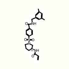 C=CC(=O)N[C@H]1CCCN(S(=O)(=O)c2ccc(C(=O)NCc3cc(C)cc(C)c3)cc2)C1